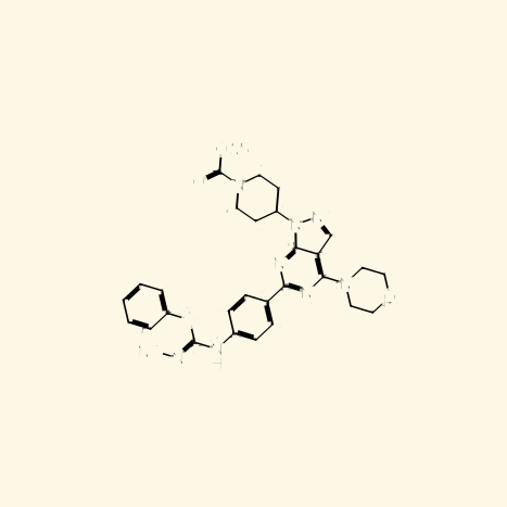 COC(=O)N1CCC(n2ncc3c(N4CCOCC4)nc(-c4ccc(N/C(=N/C#N)Oc5ccccc5)cc4)nc32)CC1